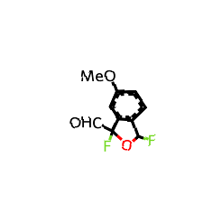 COc1ccc2c(c1)C(F)(C=O)OC2F